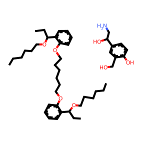 CCCCCCOC(CC)c1ccccc1OCCCCCCOc1ccccc1C(CC)OCCCCCC.NCC(O)c1ccc(O)c(CO)c1